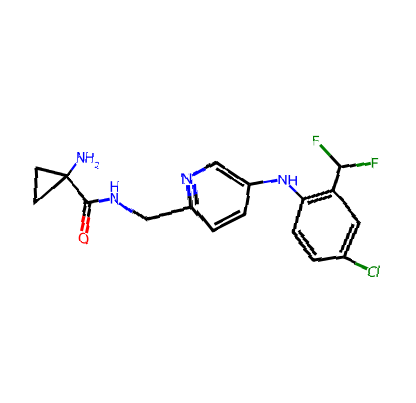 NC1(C(=O)NCc2ccc(Nc3ccc(Cl)cc3C(F)F)cn2)CC1